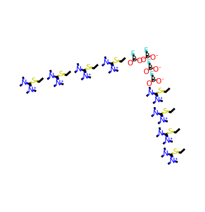 CCSC(N(C)C)=[N+](C)C.CCSC(N(C)C)=[N+](C)C.CCSC(N(C)C)=[N+](C)C.CCSC(N(C)C)=[N+](C)C.CCSC(N(C)C)=[N+](C)C.CCSC(N(C)C)=[N+](C)C.CCSC(N(C)C)=[N+](C)C.CCSC(N(C)C)=[N+](C)C.[O-]B([O-])F.[O-]B([O-])F.[O-]B([O-])F.[O-]B([O-])F